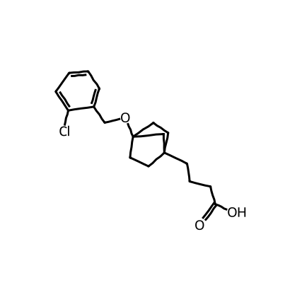 O=C(O)CCCC12CCC(OCc3ccccc3Cl)(CC1)C2